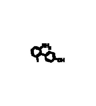 Cc1cccc(N)c1-c1ccc(O)cc1